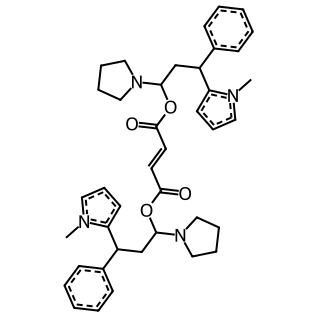 Cn1cccc1C(CC(OC(=O)/C=C/C(=O)OC(CC(c1ccccc1)c1cccn1C)N1CCCC1)N1CCCC1)c1ccccc1